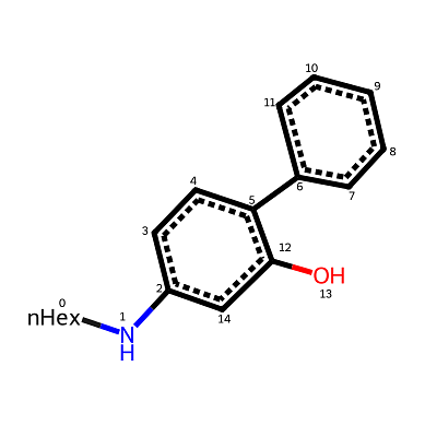 CCCCCCNc1ccc(-c2ccccc2)c(O)c1